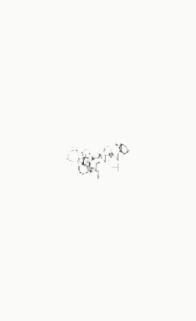 O=C(C[N+]12CCC(CC1)[C@@H](OC(=O)C1(c3ccccc3)CCCCCC1)C2)Nc1ccccn1.[Cl-]